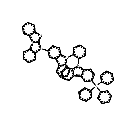 c1ccc([Si](c2ccccc2)(c2ccccc2)c2ccc3c(c2)c2ccccc2n3-c2ccccc2-n2c3ccccc3c3cc(-n4c5ccccc5n5c6ccccc6nc45)ccc32)cc1